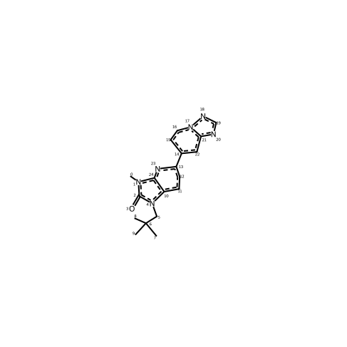 Cn1c(=O)n(CC(C)(C)C)c2ccc(-c3ccn4ncnc4c3)nc21